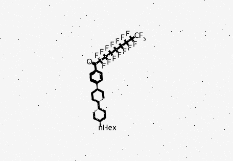 CCCCCC[C@H]1CC[C@H]([C@H]2CC[C@H](c3ccc(C(=O)C(F)(F)C(F)(F)C(F)(F)C(F)(F)C(F)(F)C(F)(F)C(F)(F)C(F)(F)F)cc3)CC2)CC1